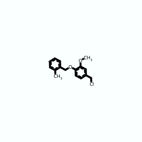 COc1cc(CCl)ccc1OCc1cc[c]cc1C